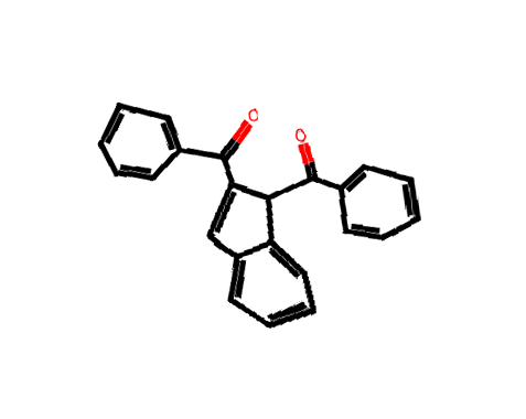 O=C(C1=Cc2ccccc2C1C(=O)c1ccccc1)c1ccccc1